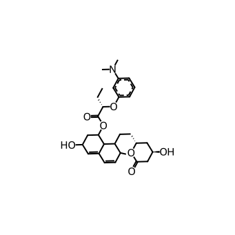 CC[C@H](Oc1cccc(N(C)C)c1)C(=O)OC1CC(O)C=C2C=CC(C)C(CC[C@@H]3C[C@@H](O)CC(=O)O3)C21